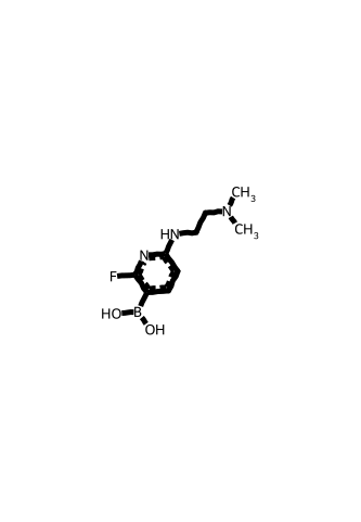 CN(C)CCNc1ccc(B(O)O)c(F)n1